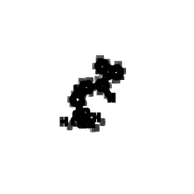 CC1(C)OB(C2=CC3c4cc(-c5cc(C#N)cc(-n6c7ccccc7c7ccccc76)c5)ccc4SC3C=C2)OC1(C)C